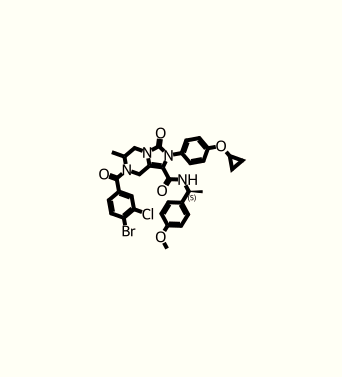 COc1ccc([C@H](C)NC(=O)c2c3n(c(=O)n2-c2ccc(OC4CC4)cc2)CC(C)N(C(=O)c2ccc(Br)c(Cl)c2)C3)cc1